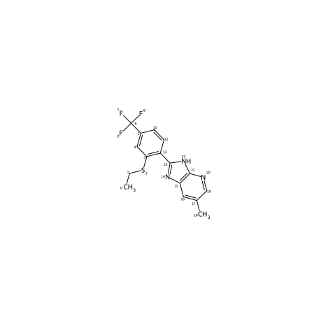 CCSc1cc(C(F)(F)F)ccc1-c1nc2cc(C)cnc2[nH]1